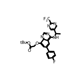 CC(Nc1ncnc2c(OCC(=O)OC(C)(C)C)cc(-c3ccc(F)cc3)cc12)c1cnc(C(F)(F)F)nc1